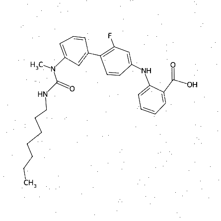 CCCCCCCNC(=O)N(C)c1cccc(-c2ccc(Nc3ccccc3C(=O)O)cc2F)c1